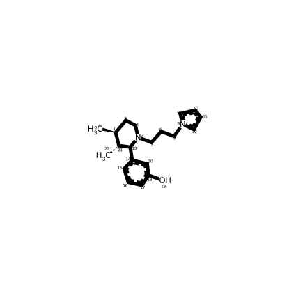 C[C@H]1CCN(CCCn2cccc2)C(c2cccc(O)c2)[C@@H]1C